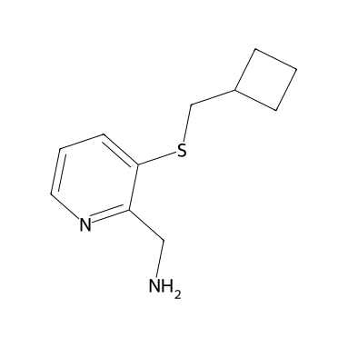 NCc1ncccc1SCC1CCC1